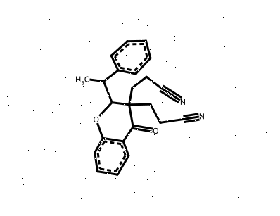 CC(c1ccccc1)C1Oc2ccccc2C(=O)C1(CCC#N)CCC#N